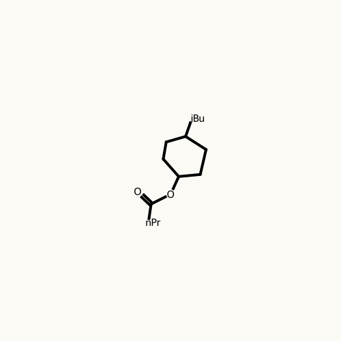 CCCC(=O)O[C]1CCC(C(C)CC)CC1